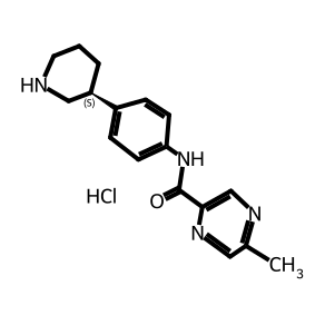 Cc1cnc(C(=O)Nc2ccc([C@@H]3CCCNC3)cc2)cn1.Cl